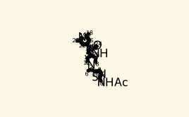 CC(=O)Nc1ncc(C(C)N2CCC3(CC2)CN(c2cc(C)nc(C)c2)C(=O)N3)s1